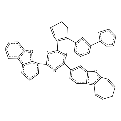 C1=Cc2oc3cc(-c4nc(C5=C(c6cccc(-c7ccccc7)c6)CCC=C5)nc(-c5cccc6c5oc5ccccc56)n4)ccc3c2C=CC1